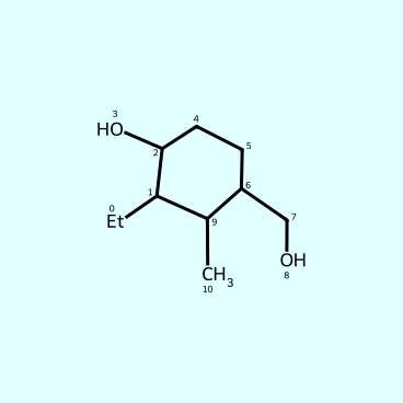 CCC1C(O)CCC(CO)C1C